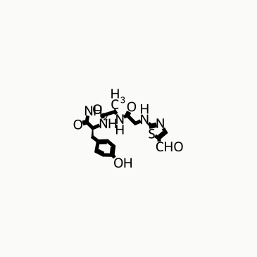 C[C@H](NC(=O)CNc1ncc(C=O)s1)C(=O)N[C@@H](Cc1ccc(O)cc1)C(N)=O